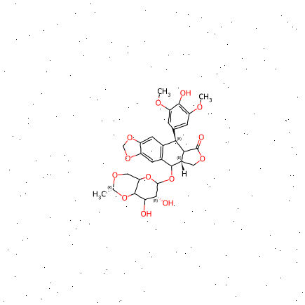 COc1cc([C@@H]2c3cc4c(cc3C(OC3OC5CO[C@@H](C)OC5C(O)[C@H]3O)[C@H]3COC(=O)C23)OCO4)cc(OC)c1O